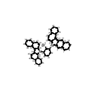 Brc1c(-n2c3cc4ccccc4cc3c3c4ccccc4ccc32)cccc1-n1c2ccc3ccccc3c2c2ccc3ccccc3c21